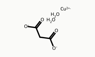 O.O.O=C([O-])CC(=O)[O-].[Cu+2]